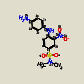 CN(C)S(=O)(=O)c1ccc(Nc2ccc(N)cc2)c([N+](=O)[O-])c1